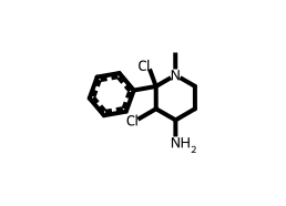 CN1CCC(N)C(Cl)C1(Cl)c1ccccc1